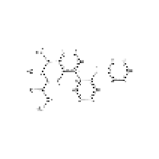 CC(C)(C)OC(=O)C(Oc1ccccc1-c1ccccc1Sc1ccccc1)C(=O)OC(C)(C)C